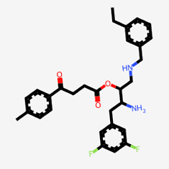 CCc1cccc(CNCC(OC(=O)CCC(=O)c2ccc(C)cc2)C(N)Cc2cc(F)cc(F)c2)c1